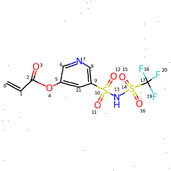 C=CC(=O)Oc1cncc(S(=O)(=O)NS(=O)(=O)C(F)(F)F)c1